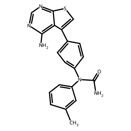 Cc1cccc(N(C(N)=O)c2ccc(-c3csc4ncnc(N)c34)cc2)c1